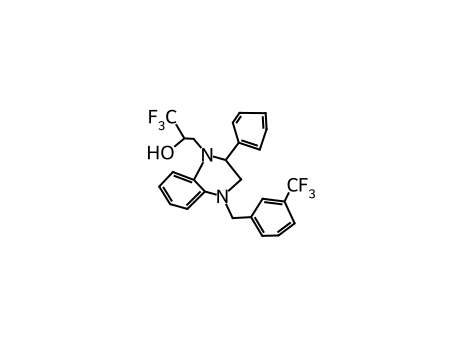 OC(CN1c2ccccc2N(Cc2cccc(C(F)(F)F)c2)CC1c1ccccc1)C(F)(F)F